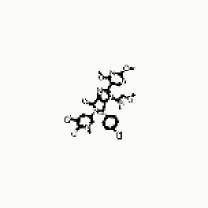 COC[C@@H](C)n1c(-c2cnc(OC)nc2OC)nc2c1[C@H](c1ccc(Cl)cc1)N(c1cc(Cl)c(=O)n(C)c1)C2=O